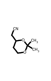 CC1(C)OCCC(CC#N)O1